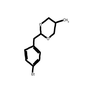 CCc1ccc(CC2OCC(C)CO2)cc1